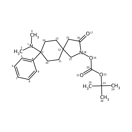 CN(C)C1(c2ccccc2)CCC2(CC1)CC(=O)N(OC(=O)OC(C)(C)C)C2